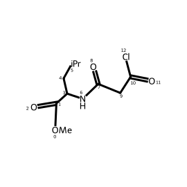 COC(=O)C(CC(C)C)NC(=O)CC(=O)Cl